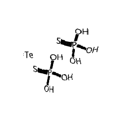 OP(O)(O)=S.OP(O)(O)=S.[Te]